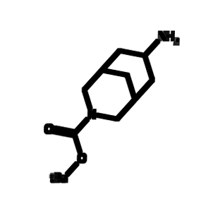 CC(C)(C)OC(=O)N1CC2CC(N)CC(C2)C1